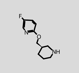 Fc1ccc(OC[C@@H]2CCCNC2)nc1